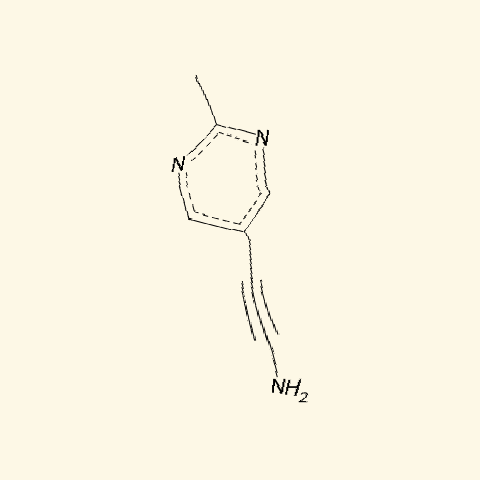 Cc1ncc(C#CN)cn1